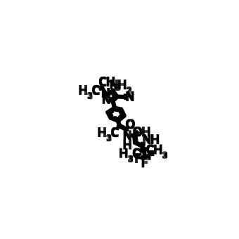 CC(C(=O)N/C(O)=C/C(=N)C(C)(C)C(F)(F)F)c1ccc(-c2nn(C(C)C)c(N)c2C#N)cc1